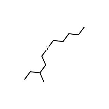 CCCC[CH2][Y][CH2]CC(C)CC